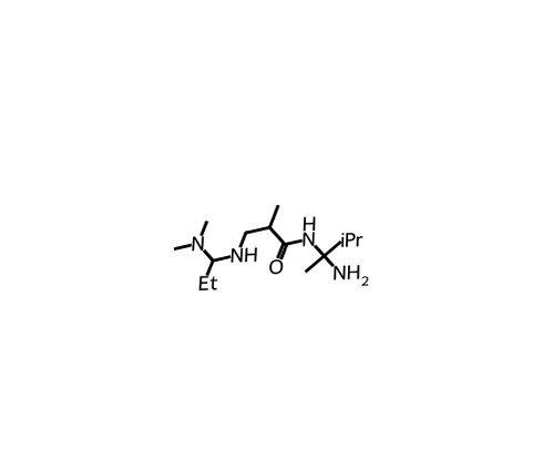 CCC(NCC(C)C(=O)NC(C)(N)C(C)C)N(C)C